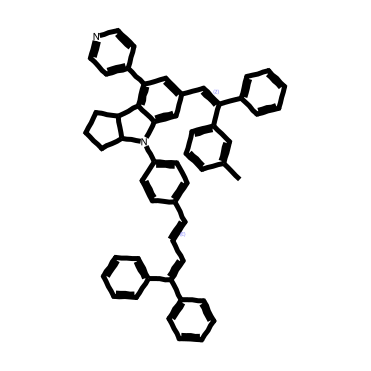 Cc1cccc(/C(=C\c2cc(-c3ccncc3)c3c(c2)N(c2ccc(/C=C/C=C(c4ccccc4)c4ccccc4)cc2)C2CCCC32)c2ccccc2)c1